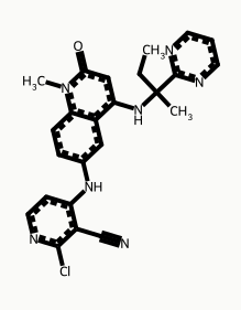 CCC(C)(Nc1cc(=O)n(C)c2ccc(Nc3ccnc(Cl)c3C#N)cc12)c1ncccn1